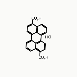 Cl.O=C(O)c1ccc2c3cccc4c(C(=O)O)ccc(c5cccc1c52)c43